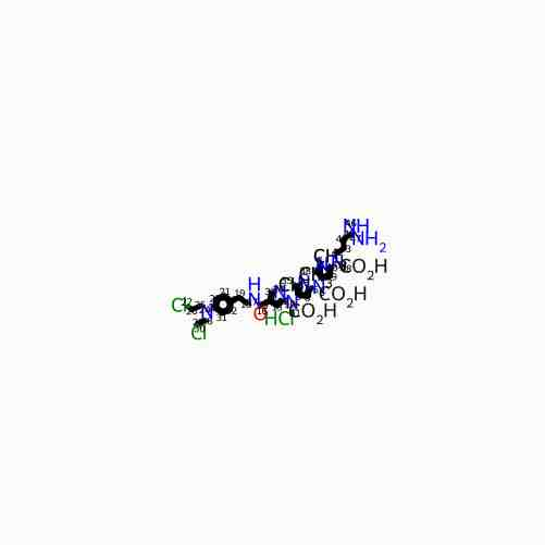 Cl.Cn1cc(N(C(=O)O)c2cc(N(C(=O)O)c3cc(C(=O)NCCc4ccc(N(CCCl)CCCl)cc4)cn3C)cn2C)cc1N(CCCC(=N)N)C(=O)O